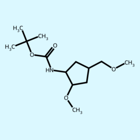 COCC1CC(NC(=O)OC(C)(C)C)C(OC)C1